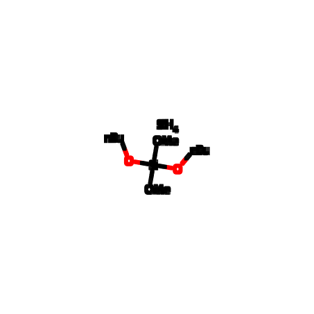 CCCCO[Si](OC)(OC)OCCCC.[SiH4]